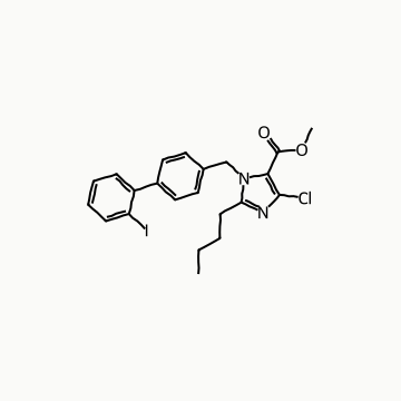 CCCCc1nc(Cl)c(C(=O)OC)n1Cc1ccc(-c2ccccc2I)cc1